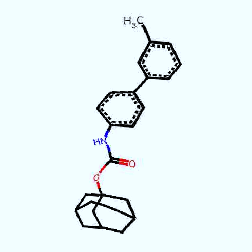 Cc1cccc(-c2ccc(NC(=O)OC34CC5CC(CC(C5)C3)C4)cc2)c1